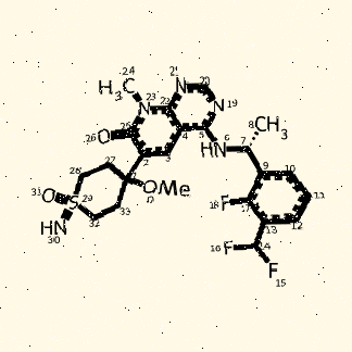 COC1(c2cc3c(N[C@H](C)c4cccc(C(F)F)c4F)ncnc3n(C)c2=O)CCS(=N)(=O)CC1